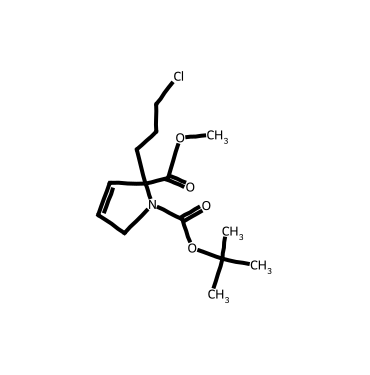 COC(=O)C1(CCCCl)C=CCN1C(=O)OC(C)(C)C